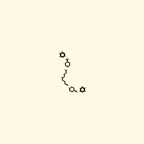 CC(CCCC(=O)OC1CCC(C(F)(F)Oc2cc(F)c(F)c(F)c2)CC1)CCCC(=O)OC1CCC(C(F)(F)Oc2cc(F)c(F)c(F)c2)CC1